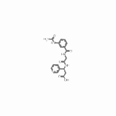 NC(=O)Nc1cccc(C(=O)NCC(=O)NC(CC(=O)O)c2cccnc2)c1